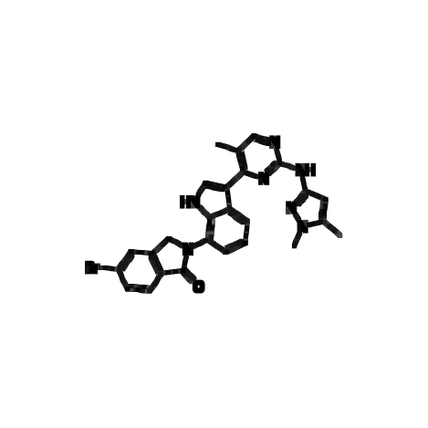 Cc1cnc(Nc2cc(C)n(C)n2)nc1-c1c[nH]c2c(N3Cc4cc(Br)ccc4C3=O)cccc12